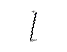 CCC/C=C/CCCCCCCCCCCCCCCCCCCCCCCC